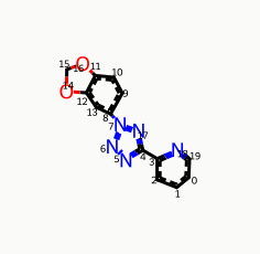 c1ccc(-c2nnn(-c3ccc4c(c3)OCO4)n2)nc1